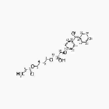 C=CC(=O)OCCCCOCC(O)COc1ccc(C(=O)C2=CC=CCC2)cc1